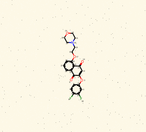 O=C1C(Oc2ccc(F)c(F)c2)=CC(=O)c2c(OCCN3CCOCC3)cccc21